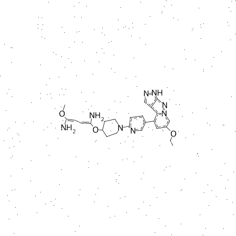 CCOc1cc(-c2ccc(N3CCC(O/C(N)=C/C=C(\N)OC)CC3)nc2)c2c3cn[nH]c3nn2c1